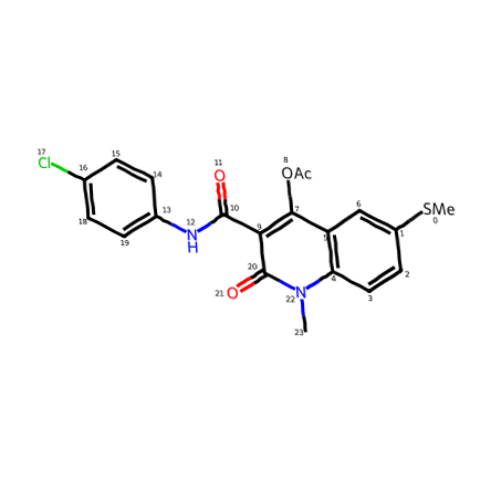 CSc1ccc2c(c1)c(OC(C)=O)c(C(=O)Nc1ccc(Cl)cc1)c(=O)n2C